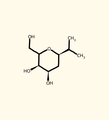 CC(C)[C@H]1C[C@@H](O)[C@@H](O)C(CO)O1